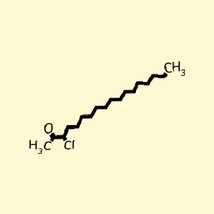 CCCCCCCCCCCCCCCC(Cl)C(C)=O